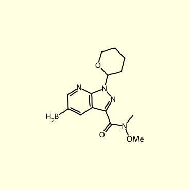 Bc1cnc2c(c1)c(C(=O)N(C)OC)nn2C1CCCCO1